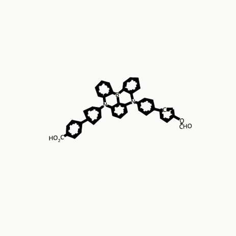 O=COc1ccc(-c2ccc(N3c4ccccc4B4c5ccccc5N(c5ccc(-c6ccc(C(=O)O)cc6)cc5)c5cccc3c54)cc2)cc1